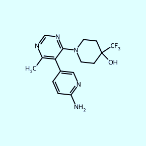 Cc1ncnc(N2CCC(O)(C(F)(F)F)CC2)c1-c1ccc(N)nc1